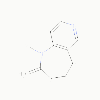 C=C1CCCc2cnccc2N1C(C)C